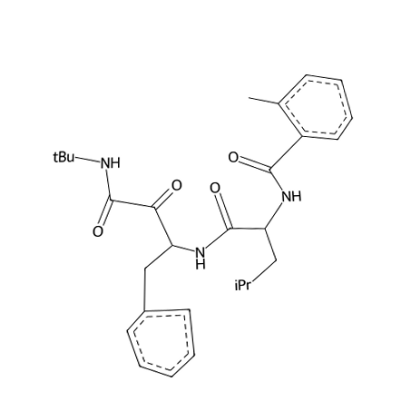 Cc1ccccc1C(=O)NC(CC(C)C)C(=O)NC(Cc1ccccc1)C(=O)C(=O)NC(C)(C)C